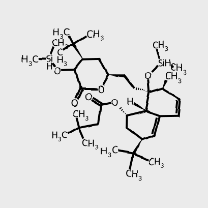 C[C@H]1C=CC2=C[C@@H](C(C)(C)C)C[C@H](OC(=O)CC(C)(C)C)[C@@H]2[C@@]1(CC[C@@H]1C[C@H](C(C)(C)C)C(O[SiH](C)C)C(=O)O1)O[SiH](C)C